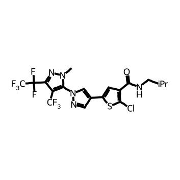 CC(C)CNC(=O)c1cc(-c2cnn(-c3c(C(F)(F)F)c(C(F)(F)C(F)(F)F)nn3C)c2)sc1Cl